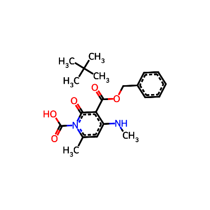 CC(C)(C)C.CNc1cc(C)n(C(=O)O)c(=O)c1C(=O)OCc1ccccc1